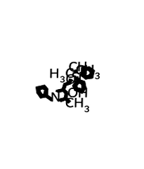 CC1CN(Cc2ccccc2)CC(CCO[Si](c2ccccc2)(c2ccccc2)C(C)(C)C)C1O